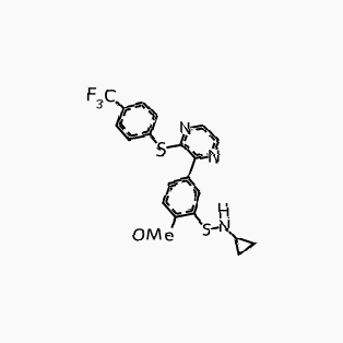 COc1ccc(-c2nccnc2Sc2ccc(C(F)(F)F)cc2)cc1SNC1CC1